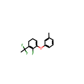 Cc1cccc(OC2=CCCC(C(C)(F)F)=C2F)c1